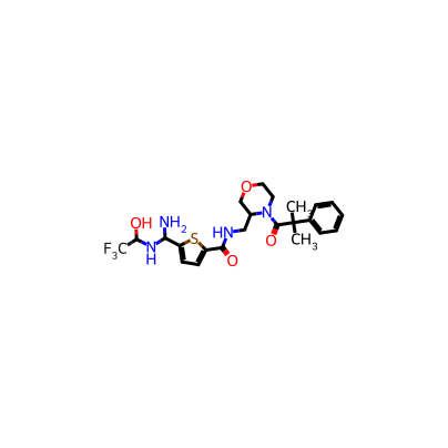 CC(C)(C(=O)N1CCOCC1CNC(=O)c1ccc(C(N)NC(O)C(F)(F)F)s1)c1ccccc1